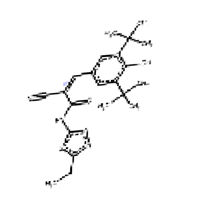 CCc1nnc(NC(=O)/C(C#N)=C\c2cc(C(C)(C)C)c(O)c(C(C)(C)C)c2)s1